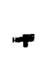 NN=C(c1ccc(O)cc1)c1nc(-c2ccccc2)cc(-c2cccc(Cl)c2)n1